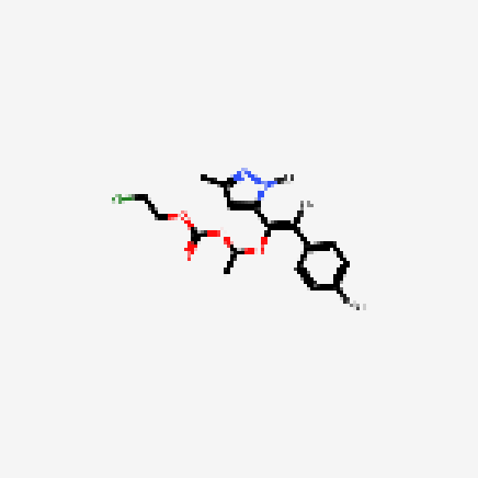 CCn1nc(C)cc1/C(OC(C)OC(=O)OCCCl)=C(\C#N)c1ccc(C(C)(C)C)cc1